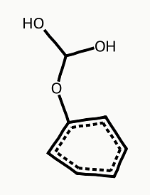 OC(O)Oc1ccccc1